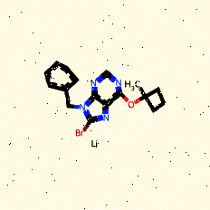 CC1(Oc2ncnc3c2nc(Br)n3Cc2ccccc2)CCC1.[Li]